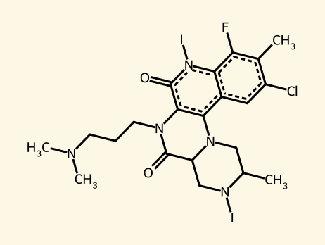 Cc1c(Cl)cc2c3c(c(=O)n(I)c2c1F)N(CCCN(C)C)C(=O)C1CN(I)C(C)CN31